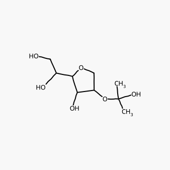 CC(C)(O)OC1COC(C(O)CO)C1O